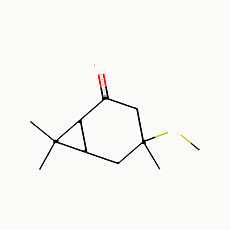 CSC1(C)CC(=O)C2C(C1)C2(C)C